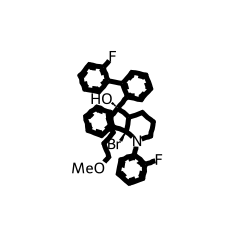 COCCCC[C@@](O)(c1ccccc1-c1ccccc1F)C1CCCN(c2ccccc2F)[C@]1(Br)c1ccccc1